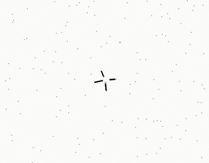 C[CH2][Zr]([Cl])([Cl])[Cl]